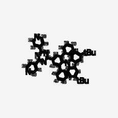 CC(C)(C)c1ccc2c(c1)c1cc(C(C)(C)C)ccc1n2-c1c(-c2ccccc2)cc(-c2nc(-c3ccncc3)nc(-c3ccncc3)n2)cc1-c1ccccc1